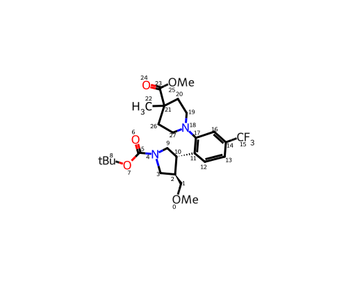 COC[C@H]1CN(C(=O)OC(C)(C)C)C[C@@H]1c1ccc(C(F)(F)F)cc1N1CCC(C)(C(=O)OC)CC1